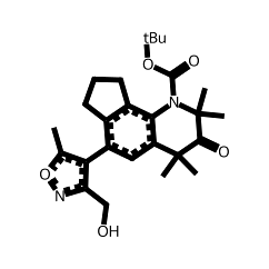 Cc1onc(CO)c1-c1cc2c(c3c1CCC3)N(C(=O)OC(C)(C)C)C(C)(C)C(=O)C2(C)C